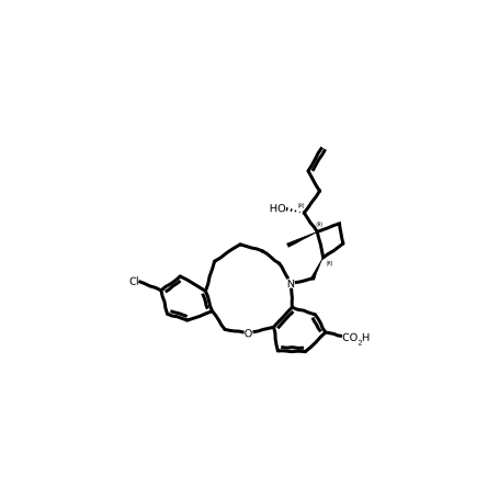 C=CC[C@@H](O)[C@]1(C)CC[C@H]1CN1CCCCc2cc(Cl)ccc2COc2ccc(C(=O)O)cc21